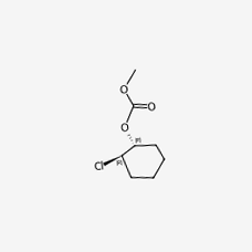 COC(=O)O[C@@H]1CCCC[C@H]1Cl